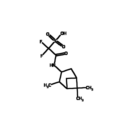 CC1C(NC(=O)C(F)(F)S(=O)(=O)O)CC2CC1C2(C)C